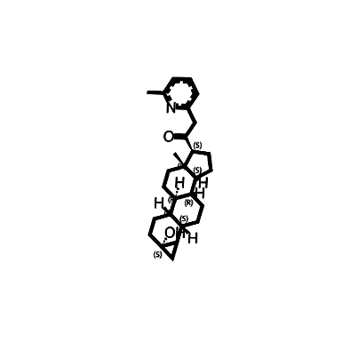 Cc1cccc(CC(=O)[C@H]2CC[C@H]3[C@@H]4CC[C@@H]5C6C[C@@]6(O)CC[C@@H]5[C@H]4CC[C@]23C)n1